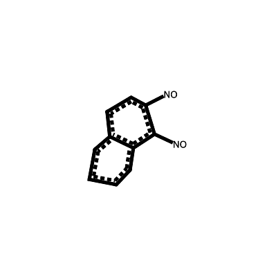 O=Nc1ccc2ccccc2c1N=O